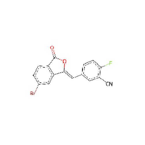 N#Cc1cc(/C=C2\OC(=O)c3ccc(Br)cc32)ccc1F